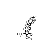 CC1=C(C)C(=O)N(OS(=O)(=O)C(F)(F)C(F)(F)OC(F)(F)C(F)(F)F)C1=O